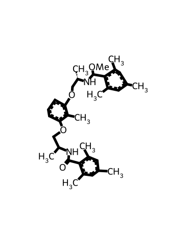 COC(N[C@@H](C)COc1cccc(OCC(C)NC(=O)c2c(C)cc(C)cc2C)c1C)c1c(C)cc(C)cc1C